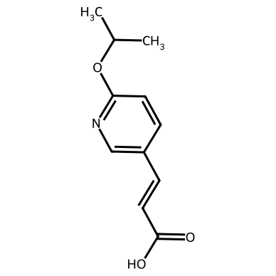 CC(C)Oc1ccc(C=CC(=O)O)cn1